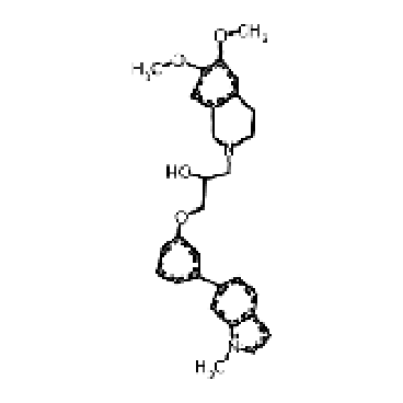 COc1cc2c(cc1OC)CN(CC(O)COc1cccc(-c3ccc4ccn(C)c4c3)c1)CC2